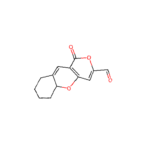 O=Cc1cc2c(c(=O)o1)C=C1CCCCC1O2